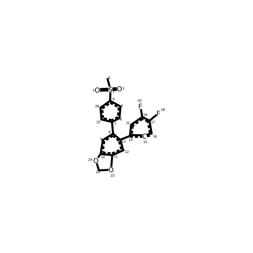 CS(=O)(=O)c1ccc(-c2cc3c(cc2-c2ccc(F)c(F)c2)OCO3)cc1